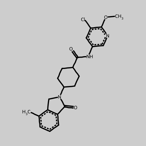 COc1ncc(NC(=O)C2CCC(N3Cc4c(C)cccc4C3=O)CC2)cc1Cl